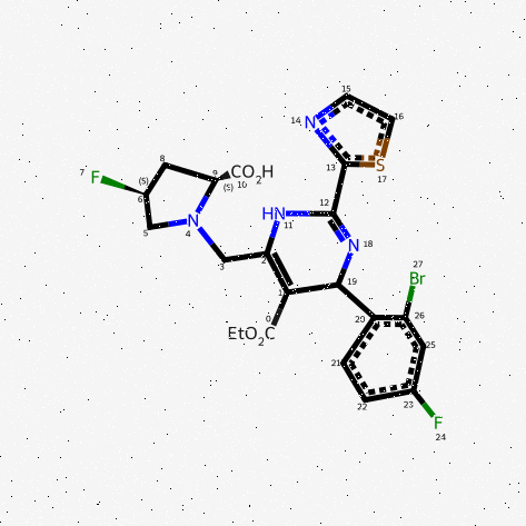 CCOC(=O)C1=C(CN2C[C@@H](F)C[C@H]2C(=O)O)NC(c2nccs2)=NC1c1ccc(F)cc1Br